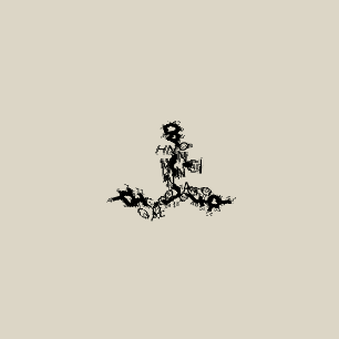 CC(=O)Oc1cc(C)cc(C)c1C(C)(C)CC(=O)OC[C@@]1(C)O[C@@H](n2cnc3c(NC(=O)C4CC5(CCCCC5)C4)nc(Cl)nc32)C[C@@H]1OC(=O)CC(C)(C)c1c(C)cc(C)cc1OC(C)=O